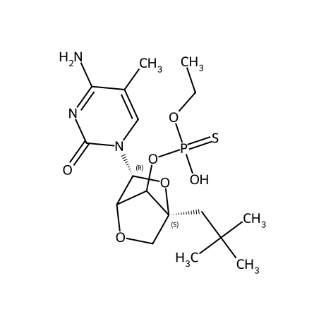 CCOP(O)(=S)OC1C2OC[C@]1(CC(C)(C)C)O[C@H]2n1cc(C)c(N)nc1=O